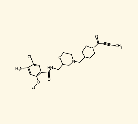 CC#CC(=O)N1CCC(CN2CCOC(CNC(=O)c3cc(Cl)c(N)cc3OCC)C2)CC1